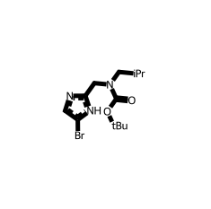 CC(C)CN(Cc1ncc(Br)[nH]1)C(=O)OC(C)(C)C